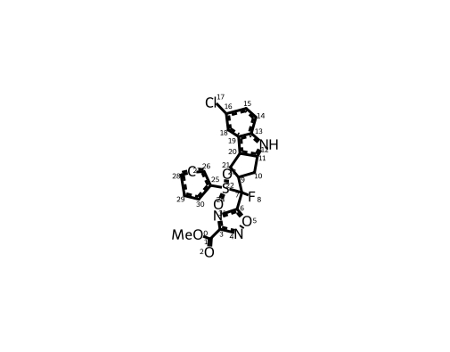 COC(=O)c1noc(C(F)(C2Cc3[nH]c4ccc(Cl)cc4c3C2)S(=O)(=O)c2ccccc2)n1